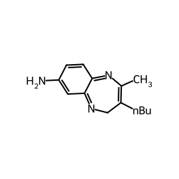 CCCCC1=C(C)N=c2ccc(N)cc2=NC1